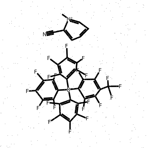 C[n+]1ccccc1C#N.Fc1c(F)c(F)c([B-](c2c(F)c(F)c(F)c(F)c2F)(c2c(F)c(F)c(F)c(F)c2F)c2c(F)c(F)c(C(F)(F)F)c(F)c2F)c(F)c1F